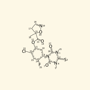 Cn1c(=S)n(C)c(=O)n(-c2cc(OC(=O)C3(C)CC=NO3)c(Cl)cc2F)c1=O